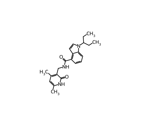 CCC(CC)n1ccc2c(C(=O)NCc3c(C)cc(C)[nH]c3=O)cccc21